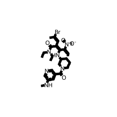 C\C=C(/C(NC1CCCN(C(=O)c2cncc(NC)c2)C1)=C(\C=C(/C)Br)C(=O)N(CC)CC)[N+](=O)[O-]